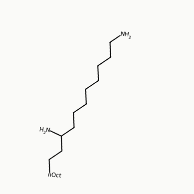 CCCCCCCCCCC(N)CCCCCCCCN